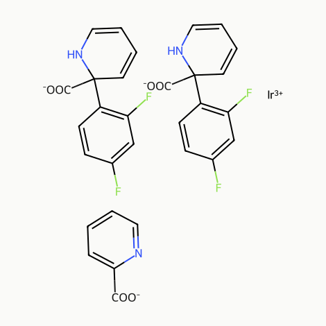 O=C([O-])C1(c2ccc(F)cc2F)C=CC=CN1.O=C([O-])C1(c2ccc(F)cc2F)C=CC=CN1.O=C([O-])c1ccccn1.[Ir+3]